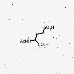 CC(=O)NC(CCS(=O)(=O)O)C(=O)O